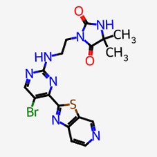 CC1(C)NC(=O)N(CCNc2ncc(Br)c(-c3nc4ccncc4s3)n2)C1=O